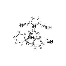 C#CC1CCC(C#N)N1C(=O)CNC1(Oc2ccc(C#N)cc2F)CCCCC1